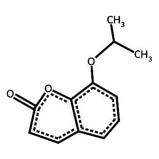 CC(C)Oc1cccc2ccc(=O)oc12